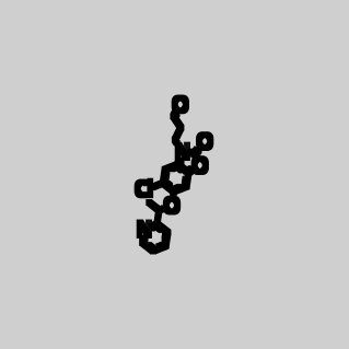 CC(Oc1cc2oc(=O)n(CCC=O)c2cc1Cl)c1ccccn1